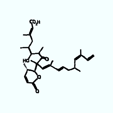 C=C/C(C)=C\C(C)C/C=C/C(C)=C/C(C)(C(=O)C(C)C(O)C(C)C/C(C)=C/C(=O)O)[C@H]1OC(=O)C=C[C@@H]1C